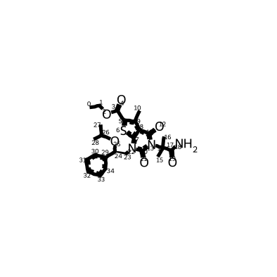 CCOC(=O)c1sc2c(c1C)c(=O)n(C(C)(C)C(N)=O)c(=O)n2C[C@H](OC(C)C)c1ccccc1